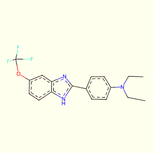 CCN(CC)c1ccc(-c2nc3cc(OC(F)(F)F)ccc3[nH]2)cc1